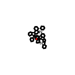 c1ccc(N(c2cccc3c2-c2ccccc2C32c3ccccc3-n3c4ccccc4c4cccc2c43)c2cc3c(c4ccccc24)-c2ccccc2C3(c2ccccc2)c2ccccc2)cc1